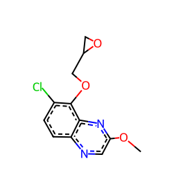 COc1cnc2ccc(Cl)c(OCC3CO3)c2n1